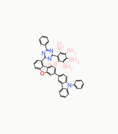 Bc1c(B)c(B)c(-c2nc(-c3ccccc3)nc(-c3cccc4oc5cc(-c6ccc7c(c6)c6ccccc6n7-c6ccccc6)ccc5c34)n2)c(B)c1B